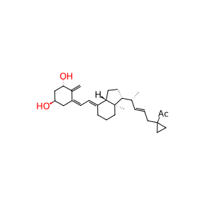 C=C1/C(=C\C=C2/CCC[C@]3(C)[C@@H]([C@H](C)/C=C/CC4(C(C)=O)CC4)CC[C@@H]23)C[C@@H](O)C[C@@H]1O